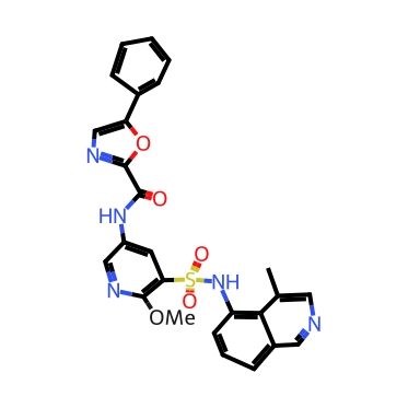 COc1ncc(NC(=O)c2ncc(-c3ccccc3)o2)cc1S(=O)(=O)Nc1cccc2cncc(C)c12